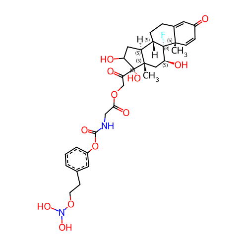 C[C@]12C=CC(=O)C=C1CC[C@H]1[C@@H]3CC(O)[C@](O)(C(=O)COC(=O)CNC(=O)Oc4cccc(CCON(O)O)c4)[C@@]3(C)C[C@H](O)[C@@]12F